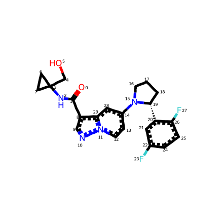 O=C(NC1(CO)CC1)c1cnn2ccc(N3CCC[C@@H]3c3cc(F)ccc3F)cc12